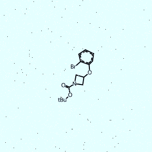 CC(C)(C)OC(=O)N1CC(Oc2ccccc2Br)C1